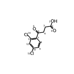 O=C(O)CCC(=O)c1ccc(Cl)cc1Cl